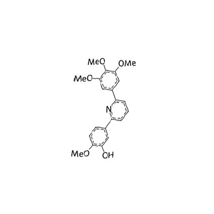 COc1ccc(-c2cccc(-c3cc(OC)c(OC)c(OC)c3)n2)cc1O